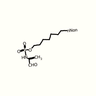 C=C(C=O)NS(=O)(=O)OCCCCCCCCCCCCCCCC